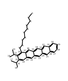 CCCCCCCCCCc1c(C(C)C)c(C(C)C)cc2cc3cc4cc5ccccc5cc4cc3cc12